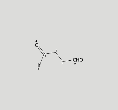 O=CCC[C](=O)[Ir]